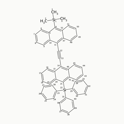 C[Si](C)(C)c1c2ccccc2c(C#Cc2c3ccccc3c([Si](c3ccccc3)(c3ccccc3)c3ccccc3)c3ccccc23)c2ccccc12